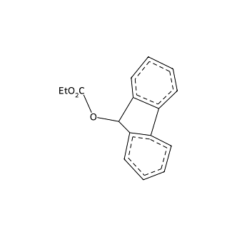 CCOC(=O)OC1c2ccccc2-c2ccccc21